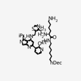 CCCCCCCCCCCCCCCCNC(=O)[C@@H](N)CCCCN.CCOc1ncccc1-c1cc(NCc2scnc2C)c2c(cnn2C(C)C)n1